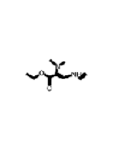 C=CN/C=C(/C(=O)OCC)N(C)C